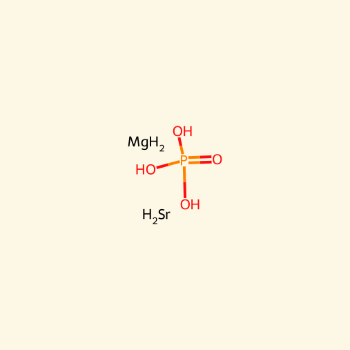 O=P(O)(O)O.[MgH2].[SrH2]